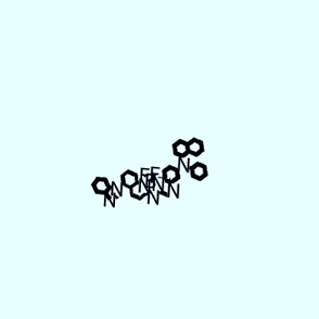 F[B-]1(F)N2C(=Nc3cnc4cc(N(c5ccccc5)c5cccc6ccccc56)ccc4[n+]31)C=CC1C(n3cnc4ccccc43)=CC=CC12